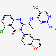 CC(Nc1nc(N)ncc1C#N)c1nc2cccc(Cl)c2c(=O)n1-c1ccc2occc2c1